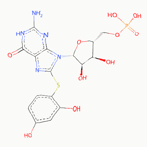 Nc1nc2c(nc(Sc3ccc(O)cc3O)n2[C@@H]2O[C@H](COP(=O)(O)O)[C@@H](O)[C@H]2O)c(=O)[nH]1